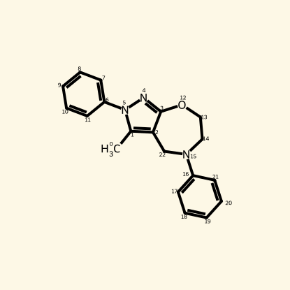 Cc1c2c(nn1-c1ccccc1)OCCN(c1ccccc1)C2